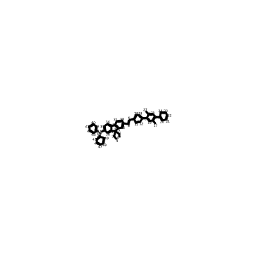 CCC1(CC)c2cc(/C=C/c3ccc(-c4cc(C)c(-c5ccccc5)cc4C)cc3)ccc2-c2ccc(N(c3ccccc3)c3ccccc3)cc21